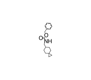 O=C(NCC1CCC2(CC1)CC2)OCc1ccccc1